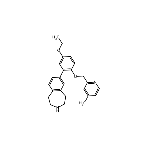 CCOc1ccc(OCc2cc(C)ccn2)c(-c2ccc3c(c2)CCNCC3)c1